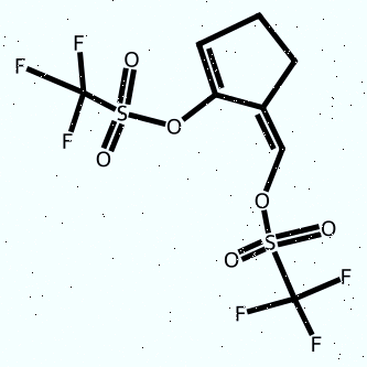 O=S(=O)(OC=C1CCC=C1OS(=O)(=O)C(F)(F)F)C(F)(F)F